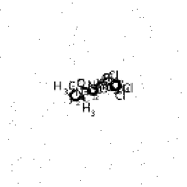 CC1CCCC(C)N1C(=O)c1cccc(CS(=O)(=O)c2cc(Cl)c(Cl)cc2Cl)n1